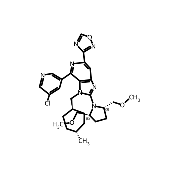 COC[C@@H]1CC[C@@H](COC)N1c1nc2cc(-c3ncon3)nc(-c3cncc(Cl)c3)c2n1C[C@H]1CC[C@H](C)CC1